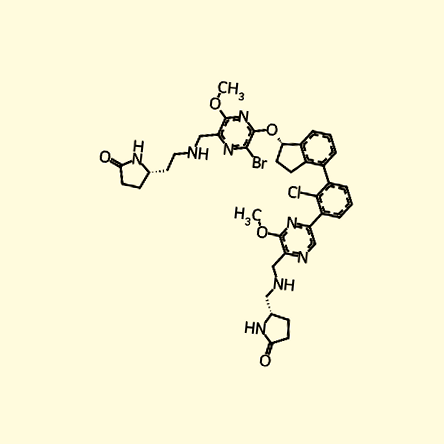 COc1nc(-c2cccc(-c3cccc4c3CC[C@@H]4Oc3nc(OC)c(CNCC[C@@H]4CCC(=O)N4)nc3Br)c2Cl)cnc1CNC[C@@H]1CCC(=O)N1